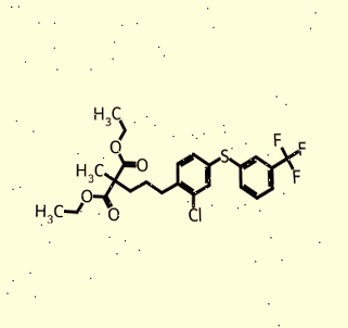 CCOC(=O)C(C)(CCCc1ccc(Sc2cccc(C(F)(F)F)c2)cc1Cl)C(=O)OCC